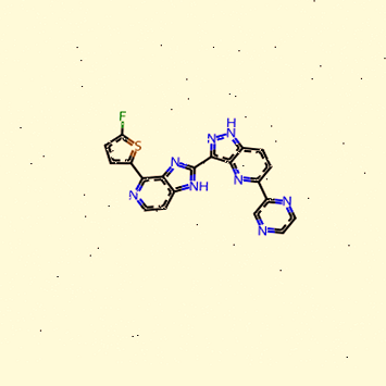 Fc1ccc(-c2nccc3[nH]c(-c4n[nH]c5ccc(-c6cnccn6)nc45)nc23)s1